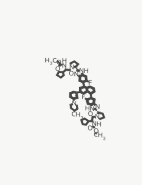 COC(=O)N[C@H](C(=O)N1CCC[C@H]1c1nc2cc(-c3cc(-c4cccc(N5CCC(C)CC5)c4)cc4c(-c5cc6nc([C@@H]7CCCN7C(=O)[C@@H](NC(=O)OC)C7CCCC7)[nH]c6cc5F)cccc34)c(F)cc2[nH]1)C1CCCC1